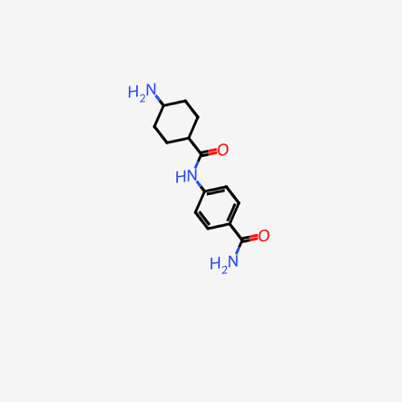 NC(=O)c1ccc(NC(=O)C2CCC(N)CC2)cc1